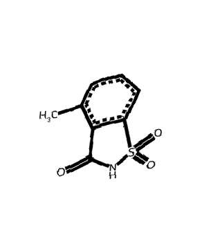 Cc1cccc2c1C(=O)NS2(=O)=O